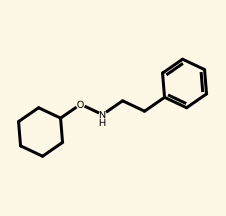 c1ccc(CCNOC2CCCCC2)cc1